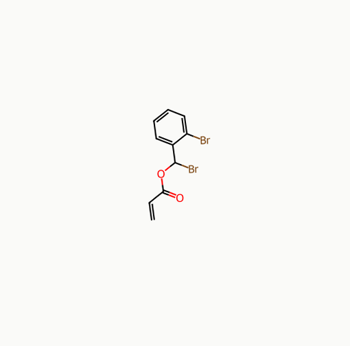 C=CC(=O)OC(Br)c1ccccc1Br